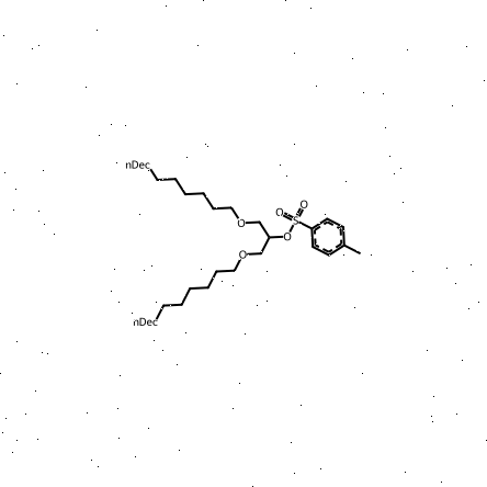 CCCCCCCCCCCCCCCCOCC(COCCCCCCCCCCCCCCCC)OS(=O)(=O)c1ccc(C)cc1